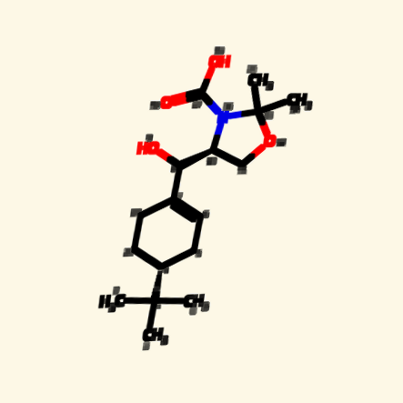 CC(C)(C)[C@H]1CC=C(C(O)[C@@H]2COC(C)(C)N2C(=O)O)CC1